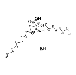 CCCCCCCCCCCCC(CCCCCCCCCC)(C(=O)O)C(=O)O.[KH]